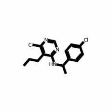 CCCc1c(Cl)ncnc1NC(C)c1ccc(Cl)cc1